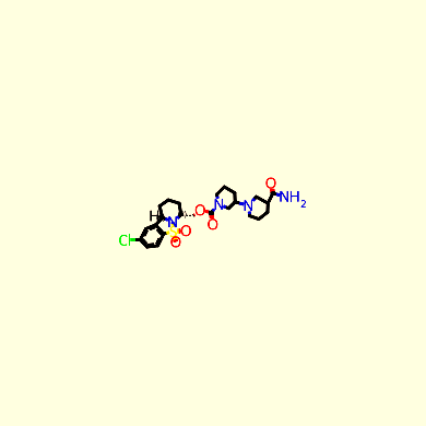 NC(=O)C1CCCN(C2CCCN(C(=O)OC[C@H]3CCC[C@H]4c5cc(Cl)ccc5S(=O)(=O)N34)C2)C1